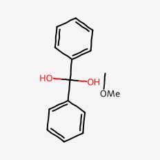 COC.OC(O)(c1ccccc1)c1ccccc1